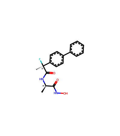 C[C@@H](NC(=O)[C@@](C)(F)c1ccc(-c2ccccc2)cc1)C(=O)NO